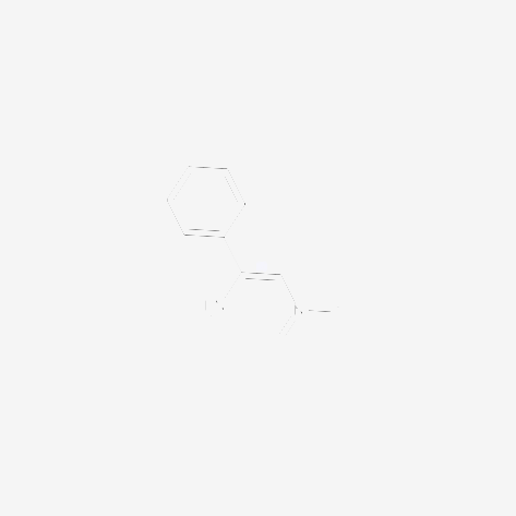 N/C(=C\[N+](=O)[O-])c1ccccc1